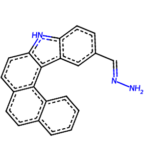 NN=Cc1ccc2[nH]c3ccc4ccc5ccccc5c4c3c2c1